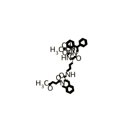 CC(=O)CCC(=O)N1Cc2ccccc2C[C@H]1C(=O)NCCCC[C@H](NC(=O)OC(C)(C)C)C(=O)NCC(c1ccccc1)c1ccccc1